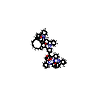 C=C1C=CC=C/C=C\C(=C)c2cc(-c3cc(-c4cccc5c4c4cccc(-n6c7ccccc7c7ccccc76)c4n5-c4ccccc4-n4c5ccccc5c5ccccc54)ccc3-n3c4ccccc4c4cc(-n5c6ccccc6c6ccccc65)ccc43)ccc2-c2ccccc21